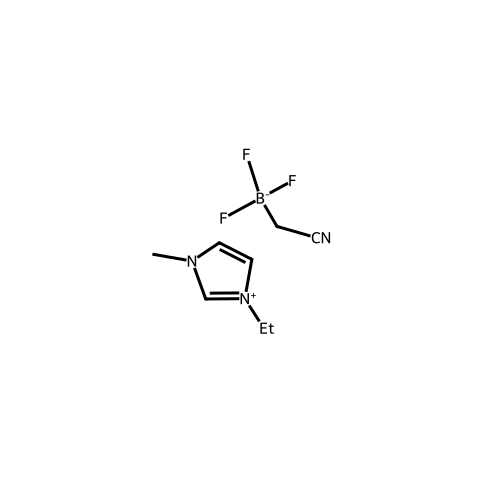 CC[n+]1ccn(C)c1.N#CC[B-](F)(F)F